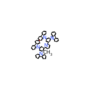 Cc1c(-c2cccc(-c3cc(-n4c5ccccc5c5ccccc54)cc(-n4c5ccccc5c5ccccc54)c3)n2)cc(-n2c3ccccc3c3ccccc32)cc1-n1c2ccccc2c2ccccc21